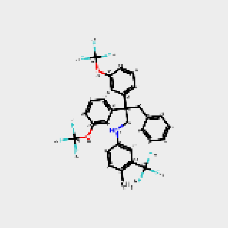 Cc1ccc(NCC(Cc2ccccc2)(c2cccc(OC(F)(F)F)c2)c2cccc(OC(F)(F)F)c2)cc1C(F)(F)F